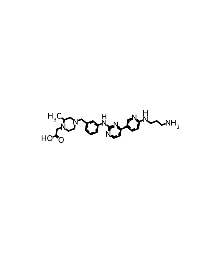 CC1CN(Cc2cccc(Nc3nccc(-c4ccc(NCCCN)nc4)n3)c2)CCN1CC(=O)O